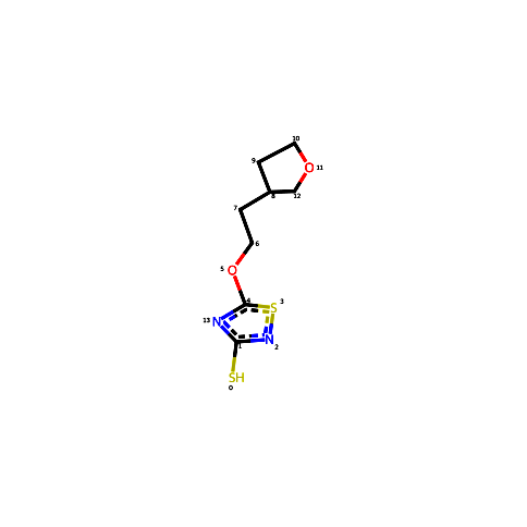 Sc1nsc(OCCC2CCOC2)n1